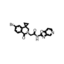 O=C(CN1CC2(CC2)c2cc(Br)ccc2C1=O)Nc1nc2cnccc2o1